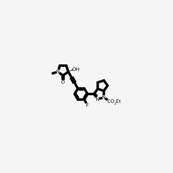 CCOC(=O)N1N=C(c2cc(C#C[C@]3(O)CCN(C)C3=O)ccc2F)C2CCCC21